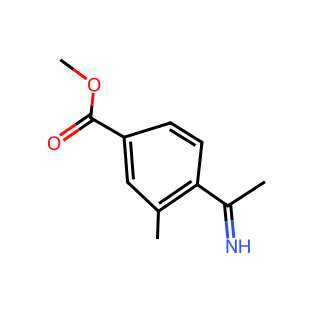 COC(=O)c1ccc(C(C)=N)c(C)c1